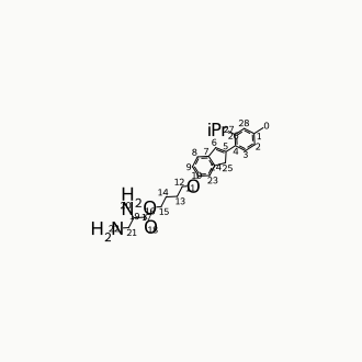 Cc1ccc(C2=Cc3ccc(OCCCCOC(=O)C(N)CN)cc3C2)c(C(C)C)c1